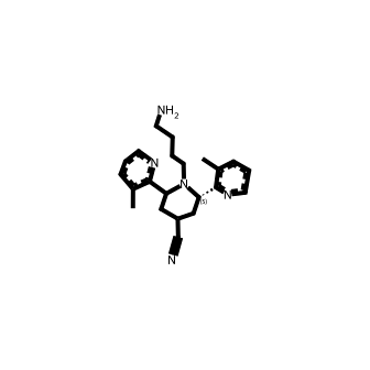 Cc1cccnc1C1CC(C#N)C[C@@H](c2ncccc2C)N1CCCCN